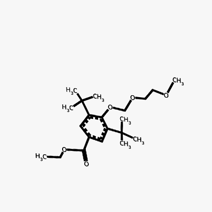 CCOC(=O)c1cc(C(C)(C)C)c(OCOCCOC)c(C(C)(C)C)c1